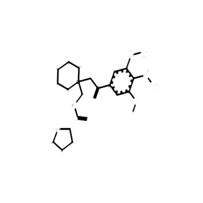 COc1cc(C(=O)CC2(CNC(=O)[C@@H]3CCCN3)CCCCC2)cc(OC)c1OC